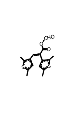 Cc1cc(/C=C(/C(=O)OC=O)c2cc(C)sc2C)c(C)s1